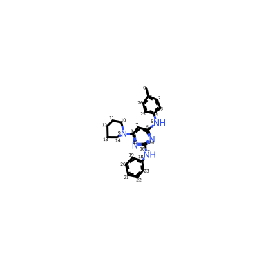 Cc1ccc(Nc2cc(N3CCCCC3)nc(Nc3ccccc3)n2)cc1